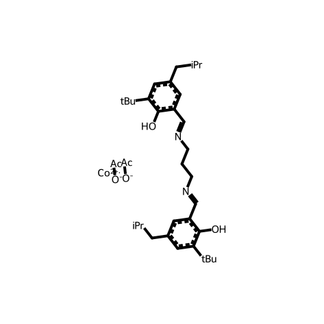 CC(=O)[O-].CC(=O)[O-].CC(C)Cc1cc(C=NCCCN=Cc2cc(CC(C)C)cc(C(C)(C)C)c2O)c(O)c(C(C)(C)C)c1.[Co+2]